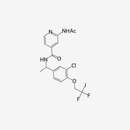 CC(=O)Nc1cc(C(=O)NC(C)c2ccc(OCC(F)(F)I)c(Cl)c2)ccn1